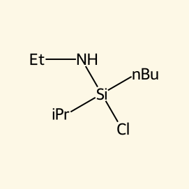 CCCC[Si](Cl)(NCC)C(C)C